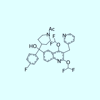 CC(=O)N1CCC(C(O)(c2ccc(F)cc2)c2ccc3nc(OC(F)F)c(Cc4cccnc4)c(OC(F)F)c3c2)CC1